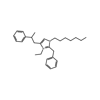 CCCCCCCn1cc(CC(C)c2ccccc2)[n+](CC)c1Cc1ccccc1